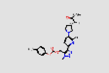 CCc1nc(-c2nnn(C)c2COC(=O)Oc2ccc([N+](=O)[O-])cc2)ccc1N1CC[C@@H](C(CC)C(=O)OC)C1